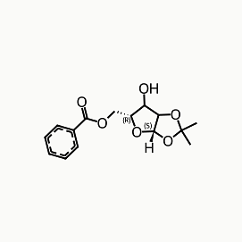 CC1(C)OC2C(O)[C@@H](COC(=O)c3ccccc3)O[C@H]2O1